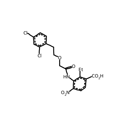 CCc1c(C(=O)O)ccc([N+](=O)[O-])c1NC(=O)COCCc1ccc(Cl)cc1Cl